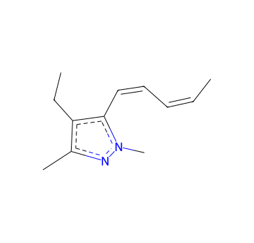 C/C=C\C=C/c1c(CC)c(C)nn1C